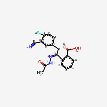 CC(=O)NN=C(Cc1ccc(F)c(C#N)c1)c1ccccc1C(=O)O